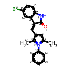 Cc1cc(C=C2C(=O)Nc3ccc(Br)cc32)c(C)n1-c1ccccc1